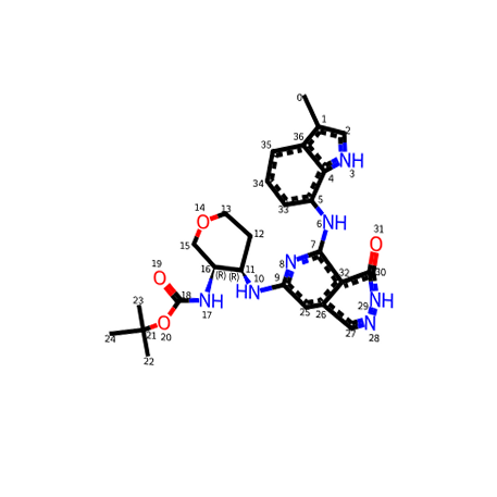 Cc1c[nH]c2c(Nc3nc(N[C@@H]4CCOC[C@@H]4NC(=O)OC(C)(C)C)cc4cn[nH]c(=O)c34)cccc12